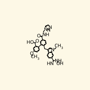 CCn1cc(Cc2ccc(C(=O)NCn3ccnn3)cc2-c2ccc(OC)cc2C(=O)O)c2ccc(C(=N)NO)cc21